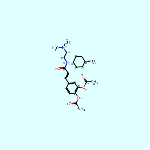 CC(=O)Oc1ccc(C=CC(=O)N(CCN(C)C)[C@H]2CC[C@H](C)CC2)cc1OC(C)=O